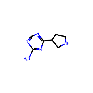 Nc1ncnc(C2CCNC2)n1